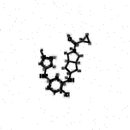 Cn1cc(Nc2ncc(Cl)c(NC3CC4CN(C(=O)C5CC5)CC4C3)n2)cn1